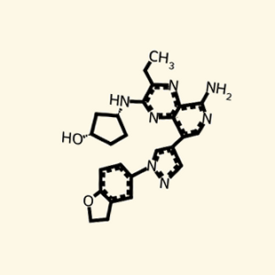 CCc1nc2c(N)ncc(-c3cnn(-c4ccc5c(c4)CCO5)c3)c2nc1N[C@@H]1CC[C@H](O)C1